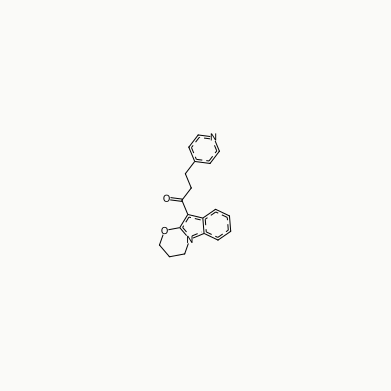 O=C(CCc1ccncc1)c1c2n(c3ccccc13)CCCO2